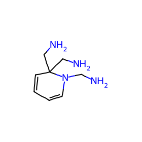 NCN1C=CC=CC1(CN)CN